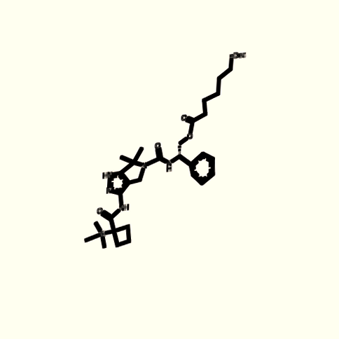 CCCCCCCCCCCCCCCC(=O)OC[C@@H](NC(=O)N1Cc2c(NC(=O)C3([Si](C)(C)C)CCC3)n[nH]c2C1(C)C)c1ccccc1